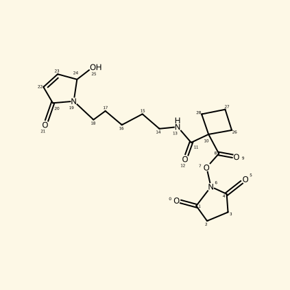 O=C1CCC(=O)N1OC(=O)C1(C(=O)NCCCCCN2C(=O)C=CC2O)CCC1